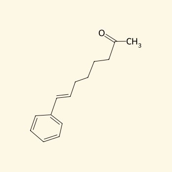 CC(=O)CCCCC=Cc1ccccc1